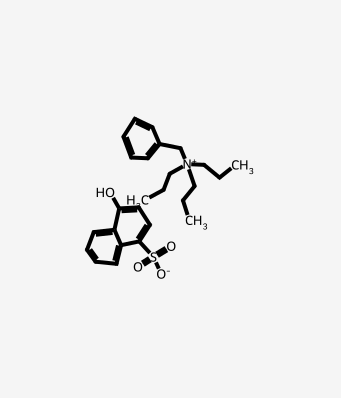 CCC[N+](CCC)(CCC)Cc1ccccc1.O=S(=O)([O-])c1ccc(O)c2ccccc12